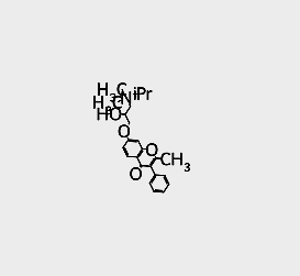 Cc1oc2cc(OCC(O)C[N+](C)(C)C(C)C)ccc2c(=O)c1-c1ccccc1